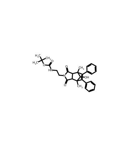 CC(C)(C)OC(=O)NCCN1C(=O)C2C(C1=O)C1(C)C(c3ccccc3)=C(c3ccccc3)C2(C)C1O